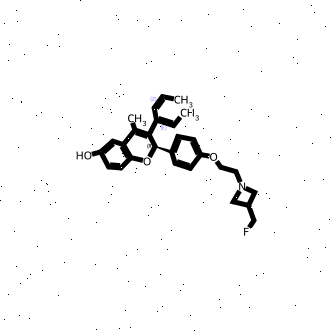 C/C=C\C(=C/C)C1=C(C)c2cc(O)ccc2O[C@@H]1c1ccc(OCCN2CC(CF)C2)cc1